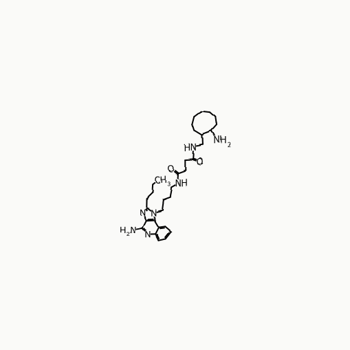 CCCCc1nc2c(N)nc3ccccc3c2n1CCCCNC(=O)CCC(=O)NCC1CCCCCCCC1N